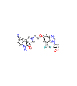 CC1(O)CC(n2cnc3cc(OCCN4CCC5(CC4)C(=O)Nc4ccc(C#N)cc45)cc(C(F)F)c32)C1